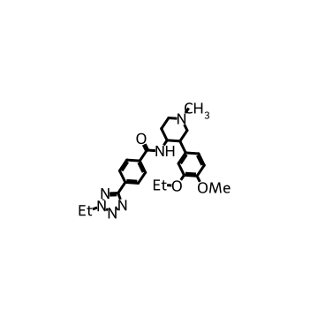 CCOc1cc(C2CN(C)CCC2NC(=O)c2ccc(-c3nnn(CC)n3)cc2)ccc1OC